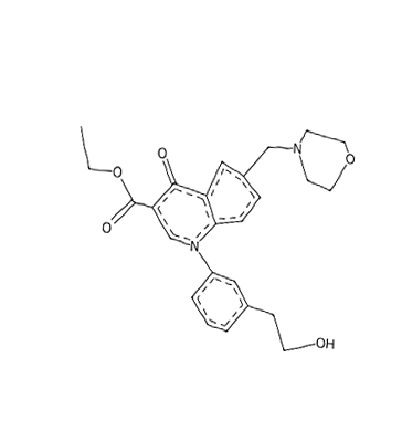 CCOC(=O)c1cn(-c2cccc(CCO)c2)c2ccc(CN3CCOCC3)cc2c1=O